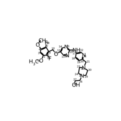 COc1cc(OC)c(F)c(COc2cnc(Nc3ccc(CN4CCN(CCO)CC4)nc3)nc2)c1F